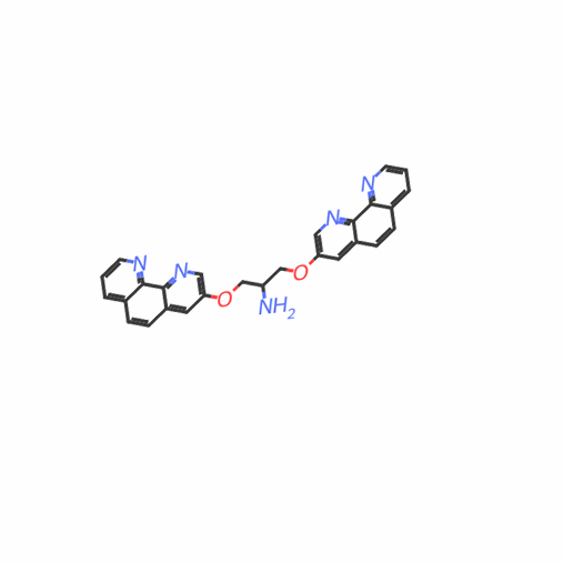 NC(COc1cnc2c(ccc3cccnc32)c1)COc1cnc2c(ccc3cccnc32)c1